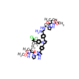 C=C(N/C=C(\N)c1ccc(-c2ccc(-c3ccc(-c4c[nH]c([C@@H]5CCCN5C(=O)[C@@H](NC(=O)OC)C(C)C)n4)cc3)n2-c2ccc(C3(C)CC3(Cl)Cl)cc2)cc1)[C@@H]1CCCN1C(=O)[C@@H](NC(=O)OC)C(C)C